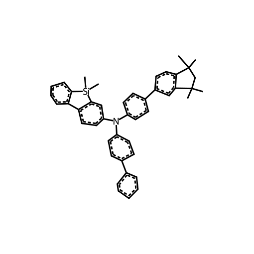 CC1(C)CC(C)(C)c2cc(-c3ccc(N(c4ccc(-c5ccccc5)cc4)c4ccc5c(c4)[Si](C)(C)c4ccccc4-5)cc3)ccc21